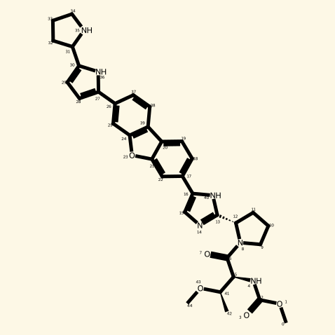 COC(=O)N[C@H](C(=O)N1CCC[C@H]1c1ncc(-c2ccc3c(c2)oc2cc(-c4ccc(C5CCCN5)[nH]4)ccc23)[nH]1)[C@@H](C)OC